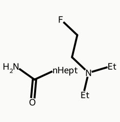 CCCCCCCC(N)=O.CCN(CC)CCF